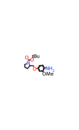 COc1cc(OCC2CCCN2C(=O)OC(C)(C)C)ccc1N